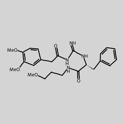 COCCCNC(=O)[C@@H](Cc1ccccc1)NC(=N)NC(=O)Cc1ccc(OC)c(OC)c1